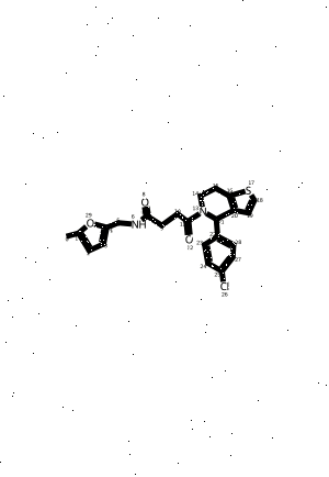 Cc1ccc(CNC(=O)CCC(=O)N2CCc3sccc3C2c2ccc(Cl)cc2)o1